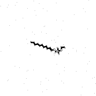 CCCCCCCCC/C=C/OC[Si](C)(C)OCC